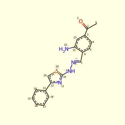 CC(=O)c1ccc(/C=N/Nc2nc(-c3ccccc3)cs2)c(N)c1